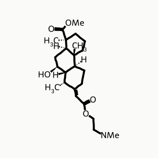 CNCCOC(=O)/C=C1\CC[C@H]2[C@@H]([C@@H](O)C[C@@H]3[C@]2(C)CCC[C@]3(C)C(=O)OC)[C@H]1C